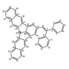 C(=C(c1ccccc1)c1ccccc1)c1cc2c3cc4ccccc4cc3n3c4cc5ccccc5cc4c(c1)c23